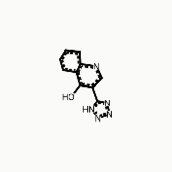 Oc1c(-c2nnn[nH]2)cnc2ccccc12